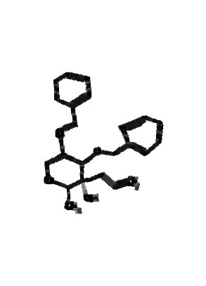 C=CC[C@@]1(O)C(C)OCC(OCc2ccccc2)C1OCc1ccccc1